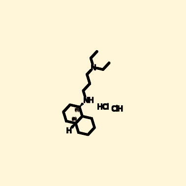 CCN(CC)CCCN[C@H]1CCC[C@H]2CCCCC21.Cl.Cl